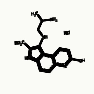 CC(N)CNc1c(C(=O)O)[nH]c2ccc3nc(O)ccc3c12.Cl